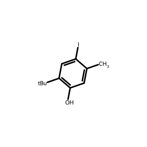 Cc1cc(O)c(C(C)(C)C)cc1I